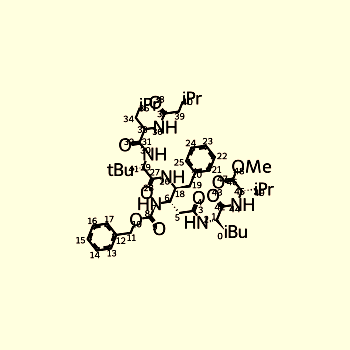 CC[C@H](C)[C@H](NC(=O)C[C@H](NC(=O)OCc1ccccc1)[C@H](Cc1ccccc1)NC(=O)[C@@H](NC(=O)C(CC(C)C)NC(=O)CC(C)C)C(C)(C)C)C(=O)N[C@H](C(=O)OC)C(C)C